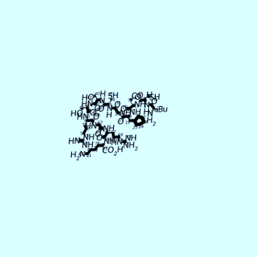 CC[C@H](C)[C@H](N)C(=O)N[C@@H](CS)C(=O)N[C@@H](CC(=O)O)C(=O)N[C@@H](Cc1ccccc1)C(=O)NCC(=O)N[C@@H](CS)C(=O)N[C@@H](CO)C(=O)N[C@@H](CO)C(=O)N[C@@H](CCCNC(=N)N)C(=O)NCC(=O)N[C@@H](CCCNC(=N)N)C(=O)N[C@@H](CCCCN)C(=O)O